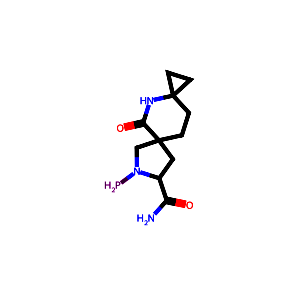 NC(=O)C1CC2(CCC3(CC3)NC2=O)CN1P